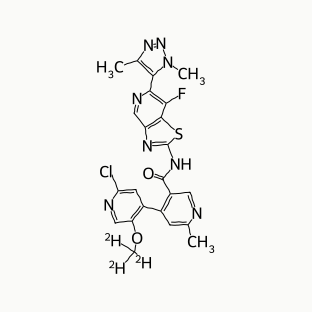 [2H]C([2H])([2H])Oc1cnc(Cl)cc1-c1cc(C)ncc1C(=O)Nc1nc2cnc(-c3c(C)nnn3C)c(F)c2s1